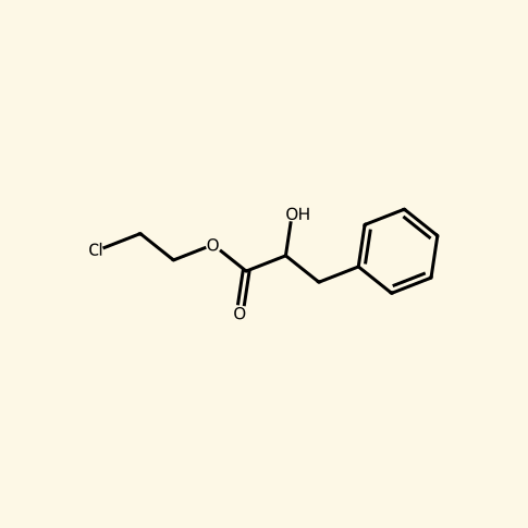 O=C(OCCCl)C(O)Cc1ccccc1